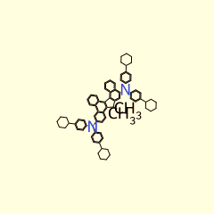 CC1(C)c2cc(N(c3ccc(C4CCCCC4)cc3)c3ccc(C4CCCCC4)cc3)c3ccccc3c2-c2c1c1ccc(N(c3ccc(C4CCCCC4)cc3)c3ccc(C4CCCCC4)cc3)cc1c1ccccc21